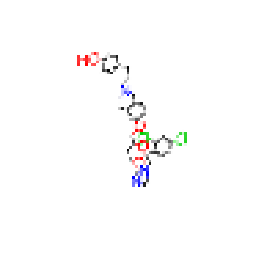 Oc1ccc(/C=C\CN2CCc3cc(OCC4CCOC(Cn5ccnc5)(c5ccc(Cl)cc5Cl)O4)ccc3C2)cc1